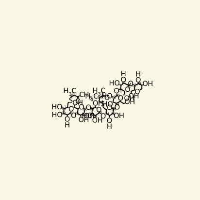 CC(=O)[C@@H](C)CSCC1O[C@@H](O[C@@H]2C(CO)O[C@H](O[C@@H]3C(CO)O[C@H](O[C@@H]4C(CO)OCC(O)[C@H]4O)[C@@H](O)C3O)[C@@H](O)C2O)[C@@H](O)C(O)[C@@H]1O[C@@H]1OC(O)[C@@H](O[C@@H]2OC(CO)[C@@H](O[C@H]3OC(CSC[C@H](C)C(C)=O)[C@@H](O)[C@H](O)C3O)C(O)[C@@H]2O)C(O)[C@@H]1O